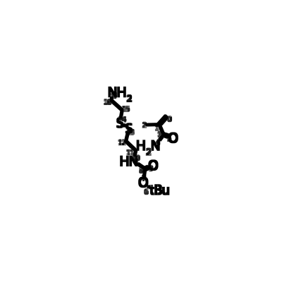 C=C(C)C(N)=O.CC(C)(C)OC(=O)NCCSSCCN